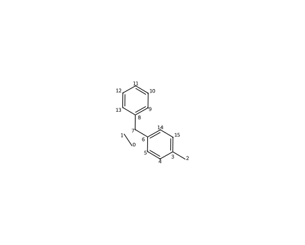 CC.Cc1ccc(Cc2ccccc2)cc1